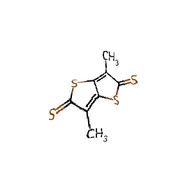 CC1=C2SC(=S)C(C)=C2SC1=S